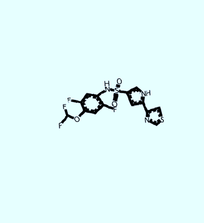 O=S(=O)(Nc1cc(F)c(OC(F)F)cc1F)c1c[nH]c(-c2cscn2)c1